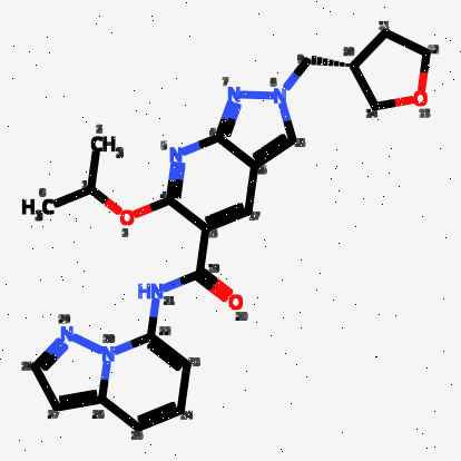 CC(C)Oc1nc2nn(C[C@@H]3CCOC3)cc2cc1C(=O)Nc1cccc2ccnn12